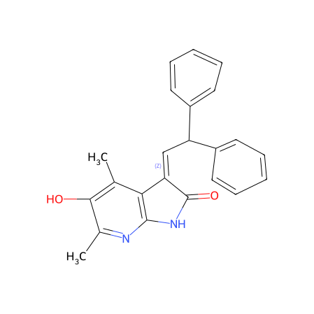 Cc1nc2c(c(C)c1O)/C(=C/C(c1ccccc1)c1ccccc1)C(=O)N2